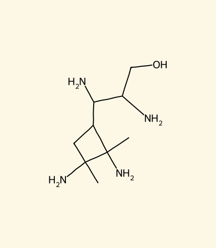 CC1(N)CC(C(N)C(N)CO)C1(C)N